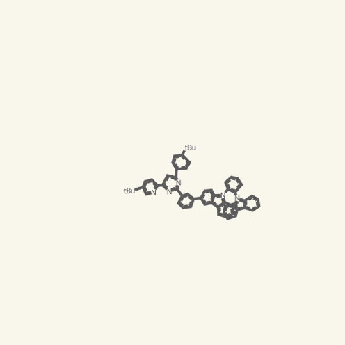 CC(C)(C)c1ccc(-c2cc(-c3ccc(C(C)(C)C)cn3)nc(-c3cccc(-c4ccc5c(c4)c4ccccc4n5-c4ccccc4-n4c5ccccc5c5ccccc54)c3)n2)cc1